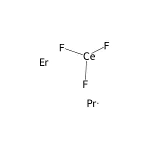 [Er].[F][Ce]([F])[F].[Pr]